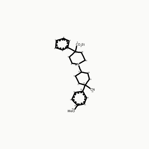 CCOC(=O)C1(c2ccccc2)CCN(C2CCC(C#N)(c3ccc(OC)cc3)CC2)CC1